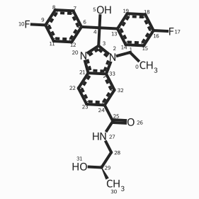 CCn1c(C(O)(c2ccc(F)cc2)c2ccc(F)cc2)nc2ccc(C(=O)NC[C@@H](C)O)cc21